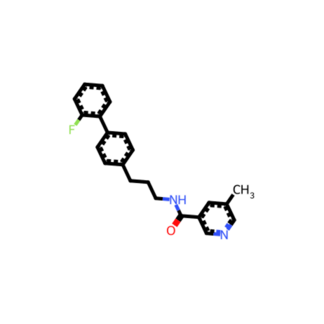 Cc1cncc(C(=O)NCCCc2ccc(-c3ccccc3F)cc2)c1